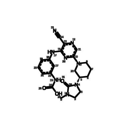 CN1CCN([C@H]2CCCN(c3cnc(C#N)c(Nc4cccc(NC(=O)O)c4)n3)C2)C1=O